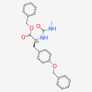 CNC(=O)N[C@@H](Cc1ccc(OCc2ccccc2)cc1)C(=O)OCc1ccccc1